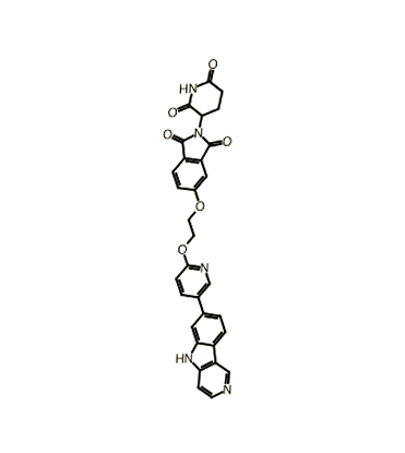 O=C1CCC(N2C(=O)c3ccc(OCCOc4ccc(-c5ccc6c(c5)[nH]c5ccncc56)cn4)cc3C2=O)C(=O)N1